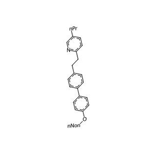 CCCCCCCCCOc1ccc(-c2ccc(CCc3ccc(CCC)cn3)cc2)cc1